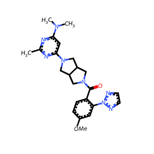 COc1ccc(C(=O)N2CC3CN(c4cc(N(C)C)nc(C)n4)CC3C2)c(-n2nccn2)c1